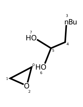 C1CO1.CCCCCC(O)O